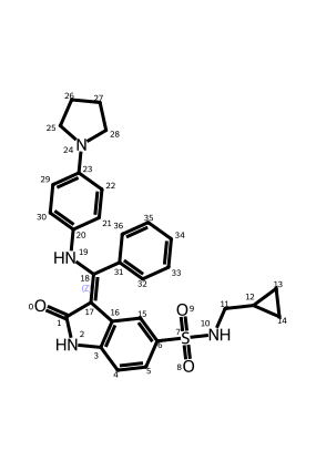 O=C1Nc2ccc(S(=O)(=O)NCC3CC3)cc2/C1=C(/Nc1ccc(N2CCCC2)cc1)c1ccccc1